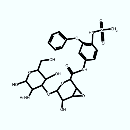 CC(=O)NC1C(O)OC(CO)C(O)C1OC1OC(C(=O)Nc2ccc(NS(C)(=O)=O)c(Oc3ccccc3)c2)C2OC2C1O